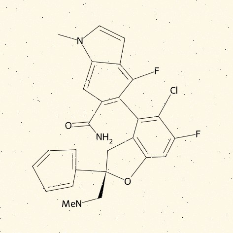 CNC[C@@]1(c2ccccc2)Cc2c(cc(F)c(Cl)c2-c2c(C(N)=O)cc3c(ccn3C)c2F)O1